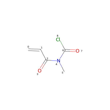 C=CC(=O)N(C)C(=O)Cl